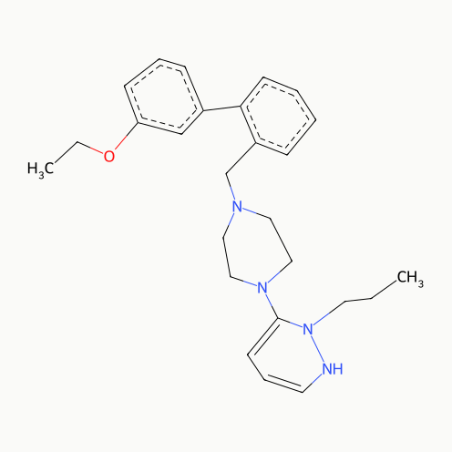 CCCN1NC=CC=C1N1CCN(Cc2ccccc2-c2cccc(OCC)c2)CC1